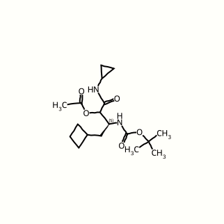 CC(=O)OC(C(=O)NC1CC1)[C@H](CC1CCC1)NC(=O)OC(C)(C)C